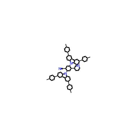 Cc1ccc(-c2ccc3c(c2)c2cc(-c4ccc(C)cc4)ccc2n3-c2cc(-c3cccnc3)c(-n3c4ccc(-c5ccc(C)cc5)cc4c4cc(-c5ccc(C)cc5)ccc43)cc2C#N)cc1